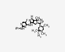 CC(C)Nc1ncc(F)c(Nc2n[nH]c3c2CN(C(=O)N2CC(C)(C)N(C)C[C@@H]2C)C3(C)C)n1